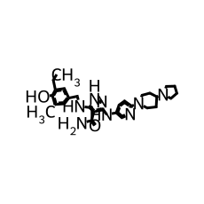 CCc1cc(CNc2[nH]nc(Nc3ccc(N4CCC(N5CCCC5)CC4)nc3)c2C(N)=O)cc(C)c1O